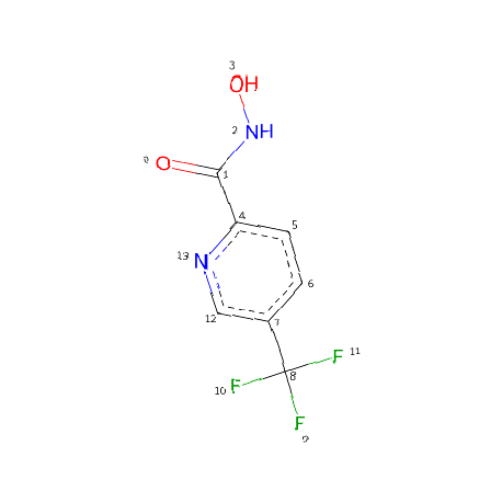 O=C(NO)c1ccc(C(F)(F)F)cn1